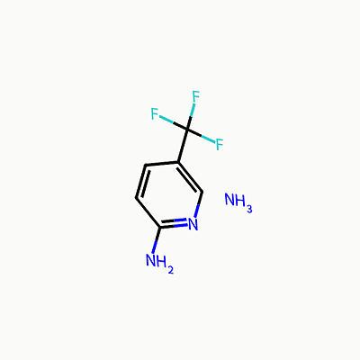 N.Nc1ccc(C(F)(F)F)cn1